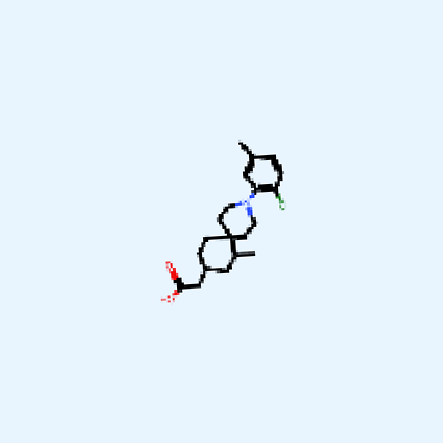 Cc1ccc(Cl)c(N2CCC3(CCC(CC(=O)O)CC3C)CC2)c1